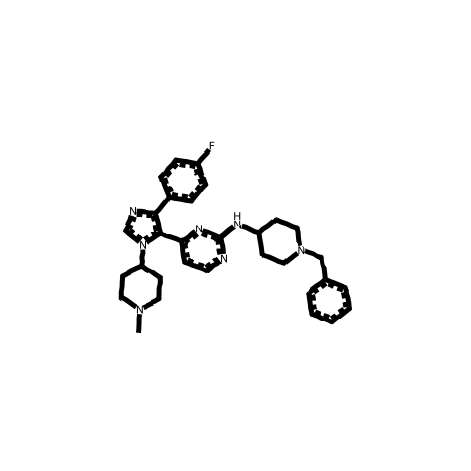 CN1CCC(n2cnc(-c3ccc(F)cc3)c2-c2ccnc(NC3CCN(Cc4ccccc4)CC3)n2)CC1